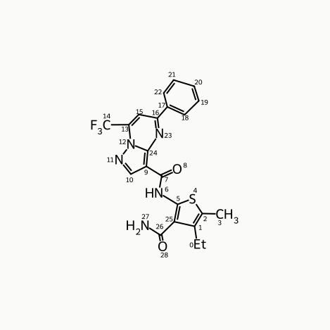 CCc1c(C)sc(NC(=O)c2cnn3c(C(F)(F)F)cc(-c4ccccc4)nc23)c1C(N)=O